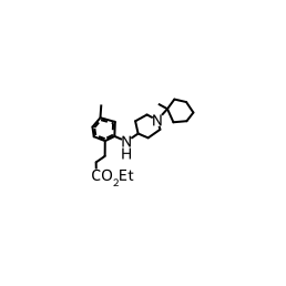 CCOC(=O)CCc1ccc(C)cc1NC1CCN(C2(C)CCCCC2)CC1